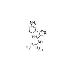 COC(C)NCc1cscc1-c1cc(N)ccc1N